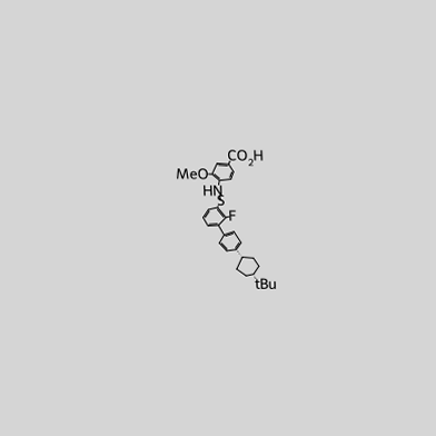 COc1cc(C(=O)O)ccc1NSc1cccc(-c2ccc([C@H]3CC[C@@H](C(C)(C)C)CC3)cc2)c1F